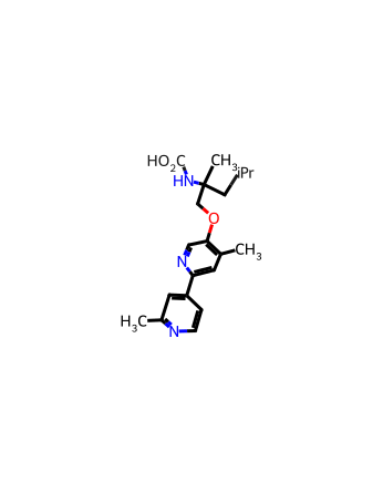 Cc1cc(-c2cc(C)c(OCC(C)(CC(C)C)NC(=O)O)cn2)ccn1